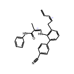 C=C/C=C\Cc1cccc(-c2ccc(C#N)cc2)c1N/C=C(/C)C(=O)Nc1ccccc1